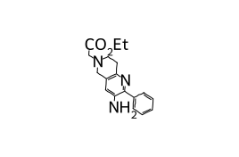 CCOC(=O)CN1CCc2nc(-c3ccccc3)c(N)cc2C1